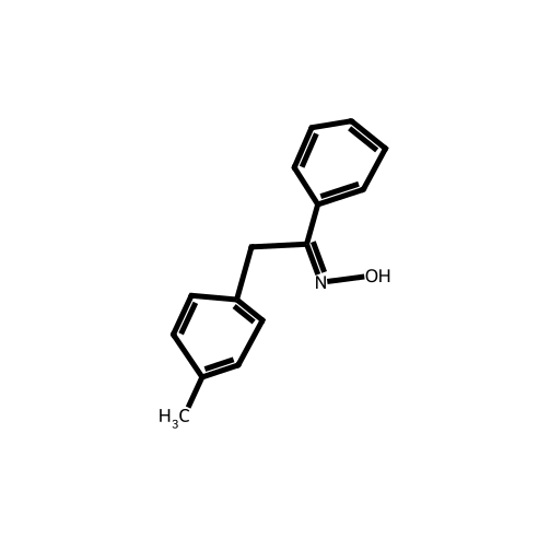 Cc1ccc(CC(=NO)c2ccccc2)cc1